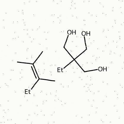 CCC(C)=C(C)C.CCC(CO)(CO)CO